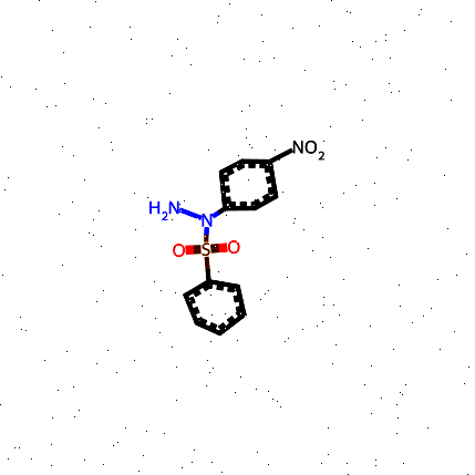 NN(c1ccc([N+](=O)[O-])cc1)S(=O)(=O)c1ccccc1